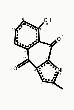 Cc1cc2c([nH]1)C(=O)c1c(O)cccc1C2=O